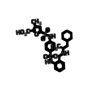 Cc1cc(S(=O)(=O)Nc2ccc(S(=O)(=O)Nc3ccccc3CN[C@@H](C)CC3CCCCC3)cc2)oc1C(=O)O